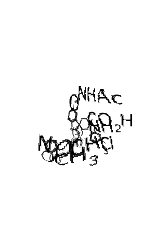 CC(=O)NCCOc1ccc2c(c1)C1(CCC(Nc3cccc(Cl)c3)(C(=O)O)CC1)[C@@H](C[C@@H](C)COc1ccnc3c1[C@H](C)CCC3)C2